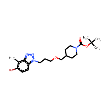 Cc1c(Br)ccc2c1nnn2CCCOCC1CCN(C(=O)OC(C)(C)C)CC1